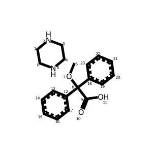 C1CNCCN1.COC(C(=O)O)(c1ccccc1)c1ccccc1